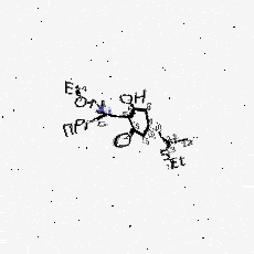 CCC/C(=N\OCC)C1=C(O)C[C@H](C[C@@H](C)SCC)CC1=O